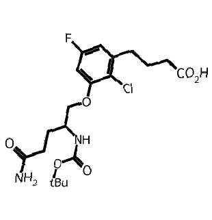 CC(C)(C)OC(=O)NC(CCC(N)=O)COc1cc(F)cc(CCCC(=O)O)c1Cl